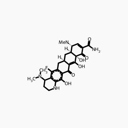 CN[C@@H]1C=C(C(N)=O)C(=O)[C@@]2(O)C(O)=C3C(=O)c4c(O)c5c(c(F)c4C[C@H]3C[C@@H]12)C(N(C)C)CCN5